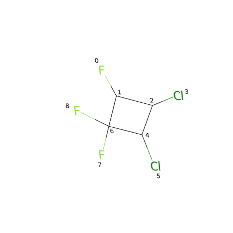 FC1C(Cl)C(Cl)C1(F)F